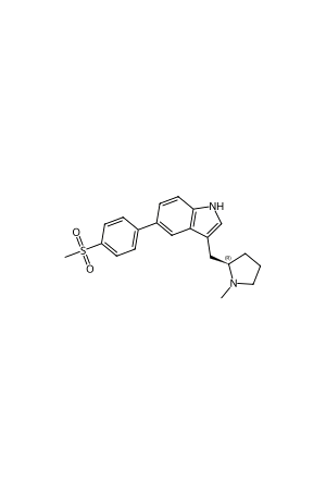 CN1CCC[C@@H]1Cc1c[nH]c2ccc(-c3ccc(S(C)(=O)=O)cc3)cc12